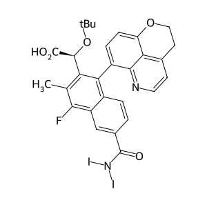 Cc1c([C@H](OC(C)(C)C)C(=O)O)c(-c2ccc3c4c(ccnc24)CCO3)c2ccc(C(=O)N(I)I)cc2c1F